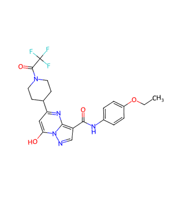 CCOc1ccc(NC(=O)c2cnn3c(O)cc(C4CCN(C(=O)C(F)(F)F)CC4)nc23)cc1